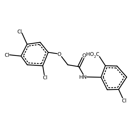 O=C(COc1cc(Cl)c(Cl)cc1Cl)Nc1cc(Cl)ccc1C(=O)O